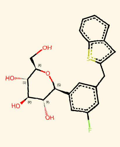 OC[C@H]1O[C@@H](c2cc(F)cc(Cc3cc4ccccc4s3)c2)[C@H](O)[C@@H](O)[C@@H]1O